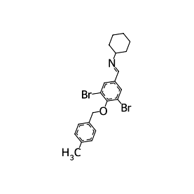 Cc1ccc(COc2c(Br)cc(/C=N/C3CCCCC3)cc2Br)cc1